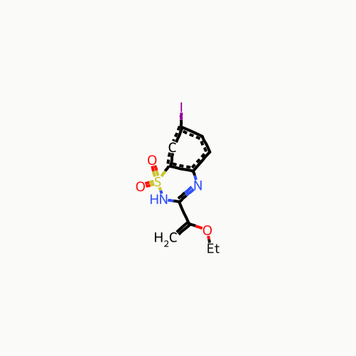 C=C(OCC)C1=Nc2ccc(I)cc2S(=O)(=O)N1